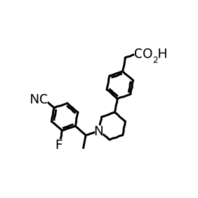 CC(c1ccc(C#N)cc1F)N1CCCC(c2ccc(CC(=O)O)cc2)C1